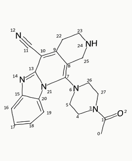 CC(=O)N1CCN(c2c3c(c(C#N)c4nc5ccccc5n24)CCNC3)CC1